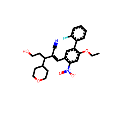 CCOc1cc([N+](=O)[O-])c(C=C(C#N)C(CCO)C2CCOCC2)cc1-c1ccccc1F